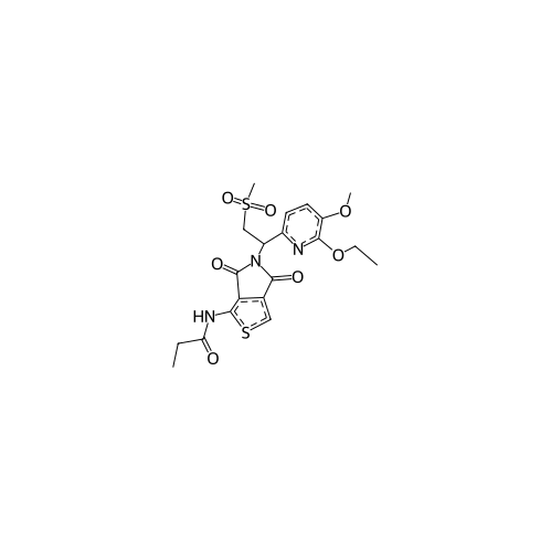 CCOc1nc(C(CS(C)(=O)=O)N2C(=O)c3csc(NC(=O)CC)c3C2=O)ccc1OC